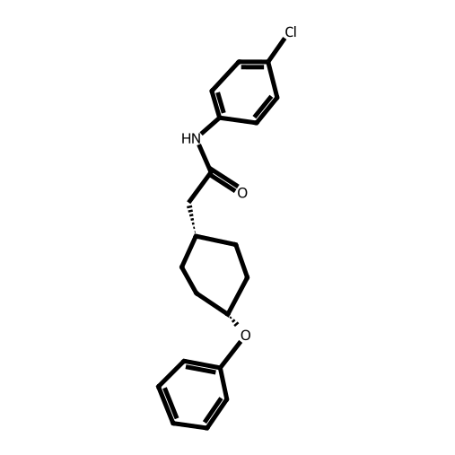 O=C(C[C@H]1CC[C@@H](Oc2ccccc2)CC1)Nc1ccc(Cl)cc1